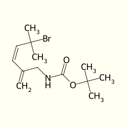 C=C(/C=C\C(C)(C)Br)CNC(=O)OC(C)(C)C